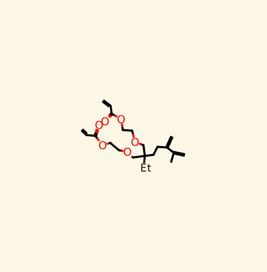 C=CC(=O)OCCOCC(CC)(CCC(=C)C(=C)C)COCCOC(=O)C=C